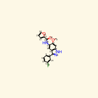 COc1cc2[nH]nc(-c3cccc(F)c3)c2cc1NC(=O)c1ccco1